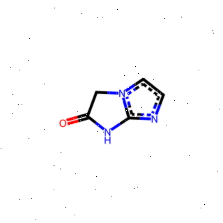 O=C1Cn2ccnc2N1